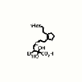 CCCCCC/C=C/C1=C(CC=C=CC(CC)C(O)(O)C(=O)O)CCC1